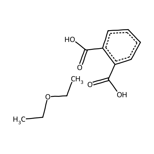 CCOCC.O=C(O)c1ccccc1C(=O)O